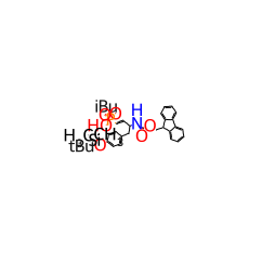 CCC(C)OP(=O)(O)C=CC(Cc1ccc(O[Si](C)(C)C(C)(C)C)cc1)NC(=O)OCC1c2ccccc2-c2ccccc21